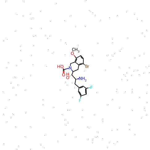 COc1ccc(Br)c2c1CN(C(=O)O)C([C@@H](O)[C@@H](N)Cc1cc(F)cc(F)c1)C2